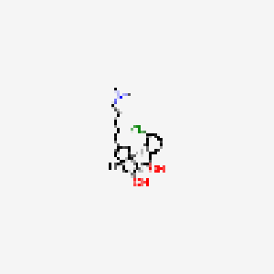 CN(C)CCCCCC1=C[C@H]2C[C@@H](O)[C@H]([C@H](O)c3cccc(Cl)c3)[C@H]2C1